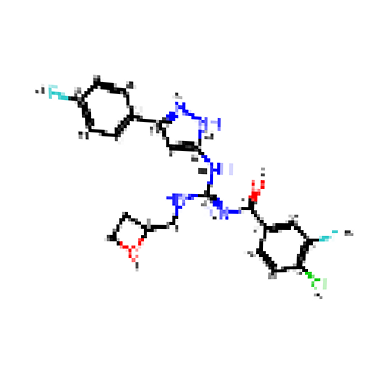 O=C(/N=C(/NCC1CCO1)Nc1cc(-c2ccc(F)cc2)n[nH]1)c1ccc(Cl)c(F)c1